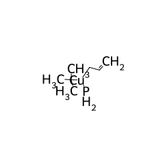 C=C[CH2][Cu]([PH2])[C](C)(C)C